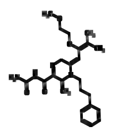 C=C1C(C(=O)NC(N)=O)=NC/C(=C\C(OCCOC)=C(C)C)N1CCCc1ccccc1